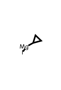 [I][Mg][CH]1CC1